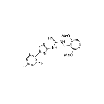 COc1cccc(OC)c1CNC(=N)Nc1nc(-c2ncc(F)cc2F)cs1